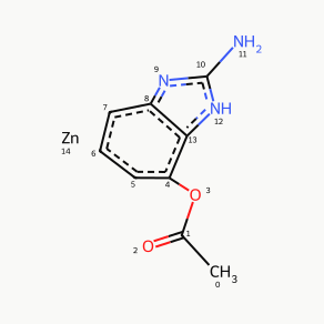 CC(=O)Oc1cccc2nc(N)[nH]c12.[Zn]